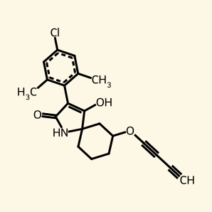 C#CC#COC1CCCC2(C1)NC(=O)C(c1c(C)cc(Cl)cc1C)=C2O